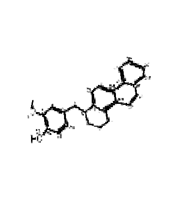 COc1cc(CC2CCCc3c2ccc2c3ccc3ccccc32)ccc1O